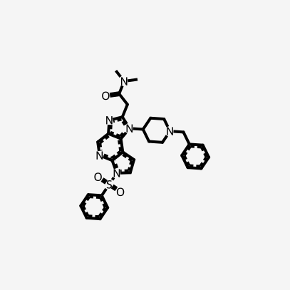 CN(C)C(=O)Cc1nc2cnc3c(ccn3S(=O)(=O)c3ccccc3)c2n1C1CCN(Cc2ccccc2)CC1